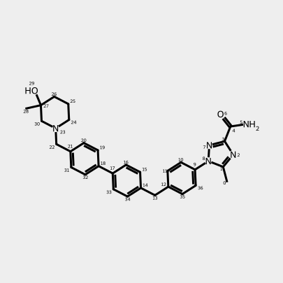 Cc1nc(C(N)=O)nn1-c1ccc(Cc2ccc(-c3ccc(CN4CCCC(C)(O)C4)cc3)cc2)cc1